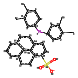 Cc1ccc([I+]c2ccc(C)c(C)c2)cc1C.O=S(=O)([O-])c1ccc2ccc3cccc4ccc1c2c34